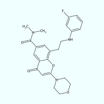 CN(C)C(=O)c1cc(CCNc2cccc(F)c2)c2oc(N3CCOCC3)cc(=O)c2c1